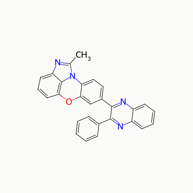 Cc1nc2cccc3c2n1-c1ccc(-c2nc4ccccc4nc2-c2ccccc2)cc1O3